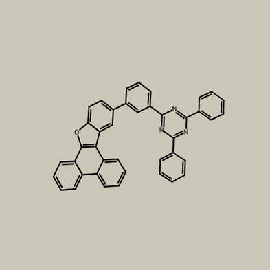 c1ccc(-c2nc(-c3ccccc3)nc(-c3cccc(-c4ccc5oc6c7ccccc7c7ccccc7c6c5c4)c3)n2)cc1